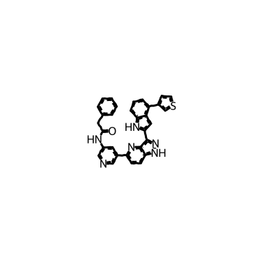 O=C(Cc1ccccc1)Nc1cncc(-c2ccc3[nH]nc(-c4cc5c(-c6ccsc6)cccc5[nH]4)c3n2)c1